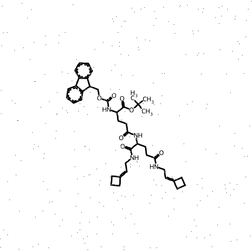 CC(C)(C)OC(=O)C(CCC(=O)NC(CCC(=O)NCC=C1CCC1)C(=O)NCC=C1CCC1)NC(=O)OCC1c2ccccc2-c2ccccc21